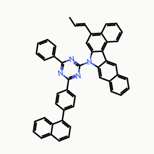 C/C=C/c1cc2c(c3ccccc13)c1cc3ccccc3cc1n2-c1nc(-c2ccccc2)nc(-c2ccc(-c3cccc4ccccc34)cc2)n1